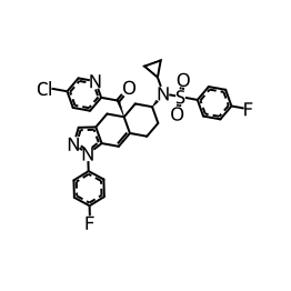 O=C(c1ccc(Cl)cn1)[C@]12Cc3cnn(-c4ccc(F)cc4)c3C=C1CC[C@H](N(C1CC1)S(=O)(=O)c1ccc(F)cc1)C2